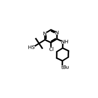 CC(C)(S)c1ncnc(NC2CCC(C(C)(C)C)CC2)c1Cl